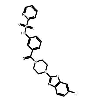 O=C(c1cccc(NS(=O)(=O)c2ccccn2)c1)N1CCN(c2nc3ccc(Cl)cc3o2)CC1